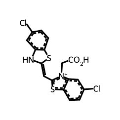 O=C(O)C[n+]1c(/C=C2/Nc3cc(Cl)ccc3S2)sc2ccc(Cl)cc21